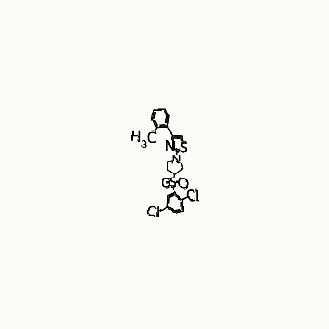 Cc1ccccc1-c1csc(N2CCC(S(=O)(=O)c3cc(Cl)ccc3Cl)CC2)n1